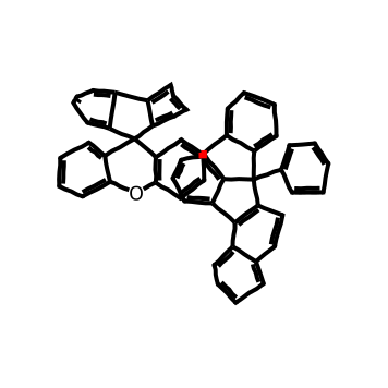 c1ccc(C2(c3ccccc3-c3ccc4c(c3)C3(c5ccccc5O4)c4ccccc4-c4ccccc43)c3ccccc3-c3c2ccc2ccccc32)cc1